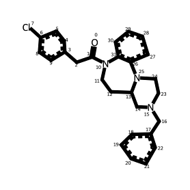 O=C(Cc1ccc(Cl)cc1)N1CCC2CN(Cc3ccccc3)CCN2c2ccccc21